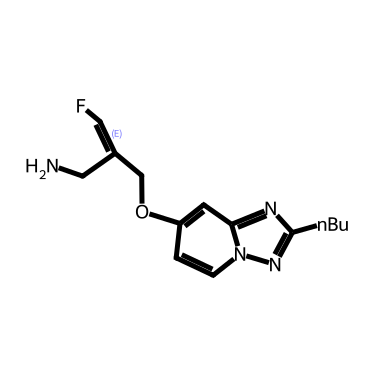 CCCCc1nc2cc(OC/C(=C/F)CN)ccn2n1